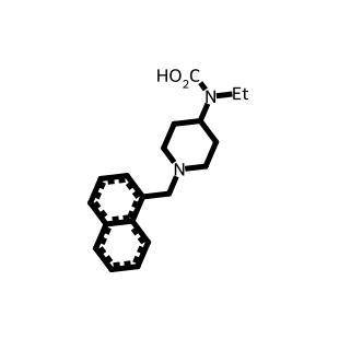 CCN(C(=O)O)C1CCN(Cc2cccc3ccccc23)CC1